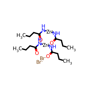 CCCC(=O)[NH][Zr+][NH]C(=O)CCC.CCCC(=O)[NH][Zr+][NH]C(=O)CCC.[Br-].[Br-]